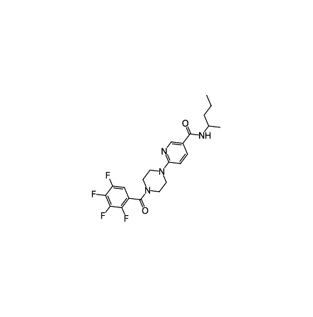 CCCC(C)NC(=O)c1ccc(N2CCN(C(=O)c3cc(F)c(F)c(F)c3F)CC2)nc1